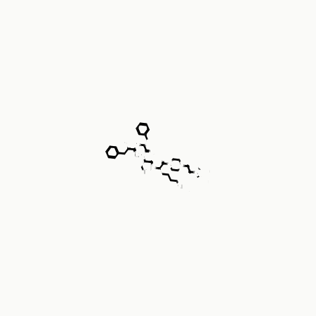 CC(C)C[C@@H](NC(=O)[C@@H](Cc1ccccc1)NC(=O)[C@H](N)Cc1ccccc1)C(=O)N[C@H](CCCCN)C(=O)N1CCN(C(=O)C(=O)N(C)C)CC1